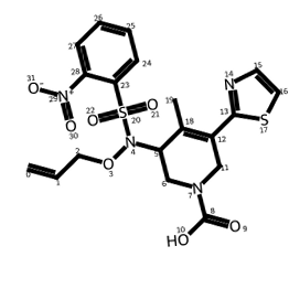 C=CCON(C1CN(C(=O)O)CC(c2nccs2)=C1C)S(=O)(=O)c1ccccc1[N+](=O)[O-]